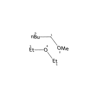 CCCCCOC.CCOCC